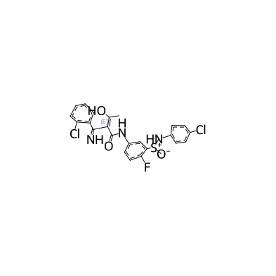 C/C(O)=C(/C(=N)c1ccccc1Cl)C(=O)Nc1ccc(F)c([S+]([O-])Nc2ccc(Cl)cc2)c1